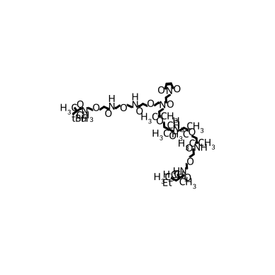 CCC(C)(C)CC(C)(C)C(=O)NCCOCCC(=O)NC(C)(C)CCOC(C)(C)CCNC(=O)C(C)(C)CCOC(C)(C)CCN(CCOCCC(=O)NCCOCCNC(=O)CCOCCNC(=O)C(C)(C)CC(C)(C)C)C(=O)CCN1C(=O)C=CC1=O